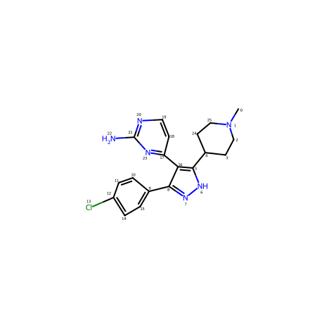 CN1CCC(c2[nH]nc(-c3ccc(Cl)cc3)c2-c2ccnc(N)n2)CC1